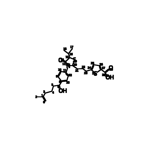 C=C(C)CCCC(O)c1ccc(N2C(=O)C(C(C)C)SC2CCCc2ccc(C(=O)O)s2)cc1